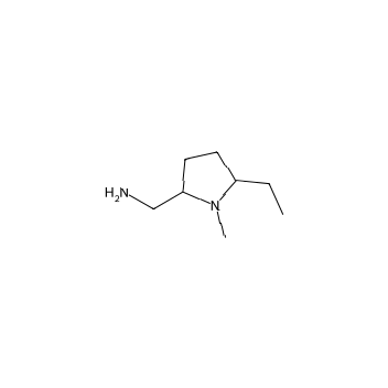 CCC1CCC(CN)N1C